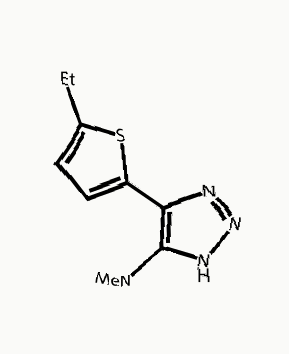 CCc1ccc(-c2nn[nH]c2NC)s1